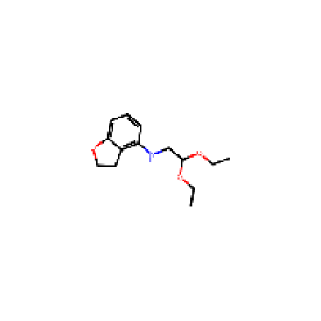 CCOC(CNc1cccc2c1CCO2)OCC